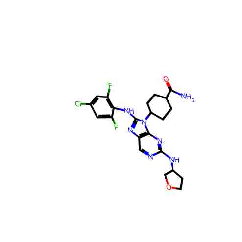 NC(=O)C1CCC(n2c(Nc3c(F)cc(Cl)cc3F)nc3cnc(N[C@H]4CCOC4)nc32)CC1